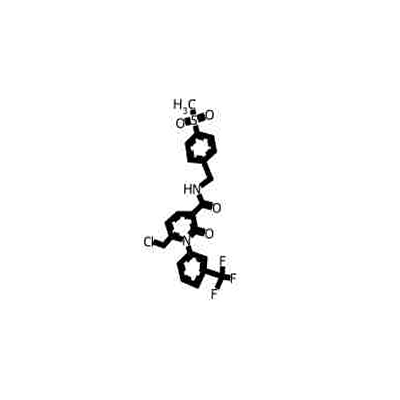 CS(=O)(=O)c1ccc(CNC(=O)c2ccc(CCl)n(-c3cccc(C(F)(F)F)c3)c2=O)cc1